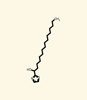 CCCCCCCCCCCCCCCC(O)c1nccs1